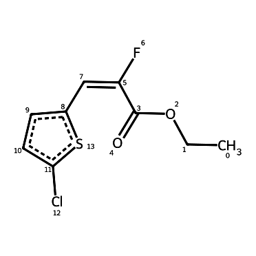 CCOC(=O)/C(F)=C\c1ccc(Cl)s1